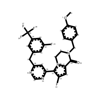 COc1ccc(CN2CCn3c(cc(F)c3-c3cc(Cc4cc(F)cc(C(F)(F)F)c4)ncn3)C2=O)cc1